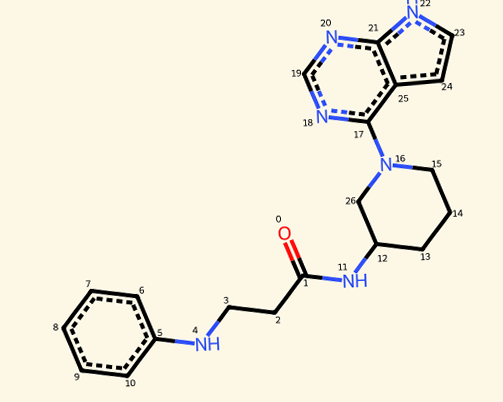 O=C(CCNc1ccccc1)NC1CCCN(c2ncnc3[nH]ccc23)C1